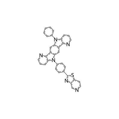 c1ccc(-n2c3cc4c5ncccc5n(-c5ccc(-c6nc7cnccc7s6)cc5)c4cc3c3ncccc32)cc1